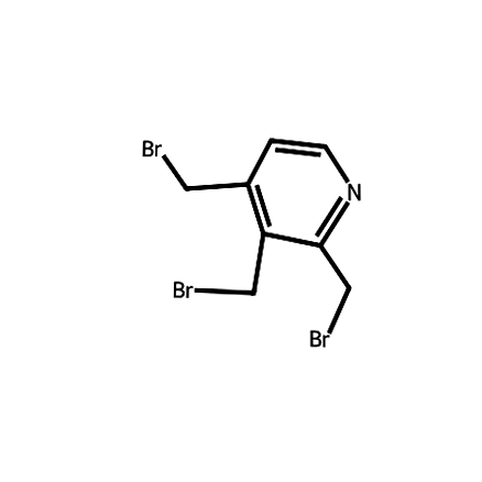 BrCc1ccnc(CBr)c1CBr